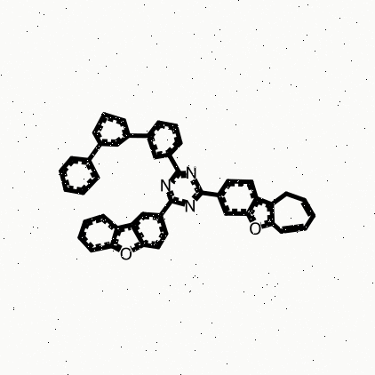 C1=CCc2c(oc3cc(-c4nc(-c5cccc(-c6cccc(-c7ccccc7)c6)c5)nc(-c5ccc6oc7ccccc7c6c5)n4)ccc23)C=C1